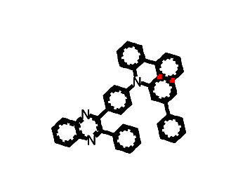 c1ccc(-c2cccc(N(c3ccc(-c4nc5ccccc5nc4-c4ccccc4)cc3)c3ccccc3-c3ccccc3)c2)cc1